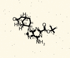 CC(C)(C)OC(=O)c1nc(N)c2ncn([C@@H]3CC[C@H]4CC(=O)N[C@@H]3C4)c2n1